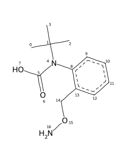 CC(C)(C)N(C(=O)O)c1ccccc1CON